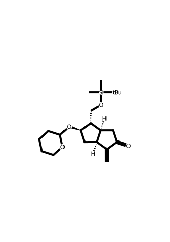 C=C1C(=O)C[C@@H]2[C@@H](CO[Si](C)(C)C(C)(C)C)[C@H](OC3CCCCO3)C[C@H]12